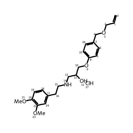 C=CCOCc1ccc(OCC(O)CNCCc2ccc(OC)c(OC)c2)cc1.Cl